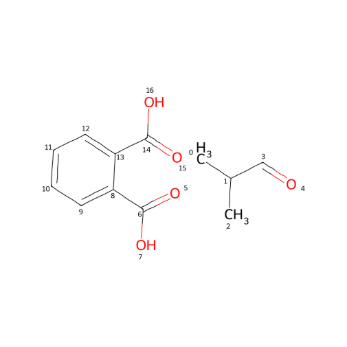 CC(C)C=O.O=C(O)c1ccccc1C(=O)O